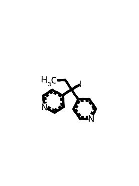 CCC(I)(c1ccncc1)c1ccncc1